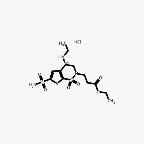 CCN[C@H]1CN(CCC(=O)OCC)S(=O)(=O)c2sc(S(N)(=O)=O)cc21.Cl